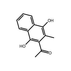 CC(=O)c1c(C)c(O)c2ccccc2c1O